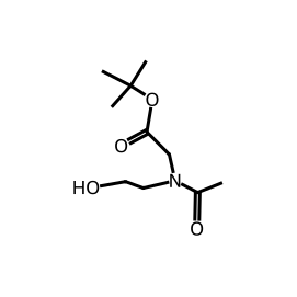 CC(=O)N(CCO)CC(=O)OC(C)(C)C